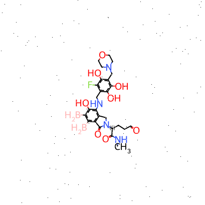 Bc1c(B)c2c(c(NCc3c(O)c(O)c(CN4CCOCC4)c(O)c3F)c1O)CN([C@@H](CCC=O)C(=O)NC)C2=O